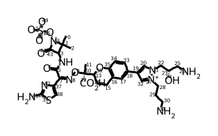 CC1(C)C(NC(=O)/C(=N\O[C@](C)(C(=O)O)C2CCc3cc(-c4cn(C[C@@H](O)CN)[n+](CCCN)c4)ccc3O2)c2csc(N)n2)C(=O)N1OS(=O)(=O)[O-]